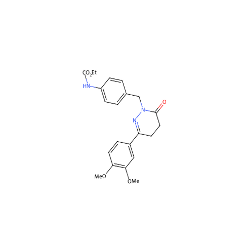 CCOC(=O)Nc1ccc(CN2N=C(c3ccc(OC)c(OC)c3)CCC2=O)cc1